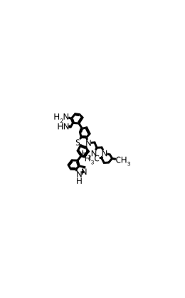 CC1CCC(C)N(CC(N)CN2c3ccc(-c4cccc(N)c4C=N)cc3Sc3cc(-c4cccc5[nH]ncc45)ccc32)C1